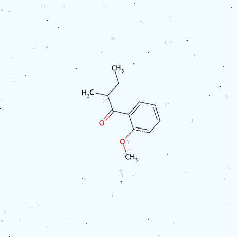 CCC(C)C(=O)c1ccccc1OC